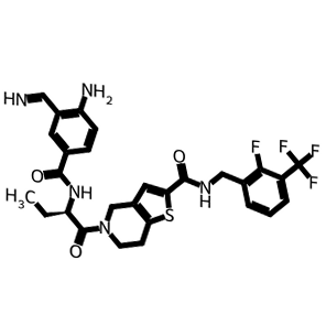 CC[C@@H](NC(=O)c1ccc(N)c(C=N)c1)C(=O)N1CCc2sc(C(=O)NCc3cccc(C(F)(F)F)c3F)cc2C1